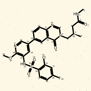 CNC(=O)C[C@@H](C)Cn1cnc2ccc(-c3cnc(OC)c(NS(=O)(=O)c4ccc(F)cc4Cl)c3)cc2c1=O